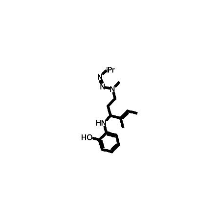 C/C=C(\C)C(CCN(C)/N=N\C(C)C)Nc1ccccc1O